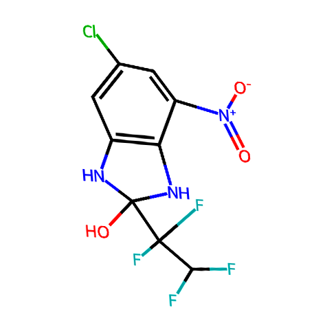 O=[N+]([O-])c1cc(Cl)cc2c1NC(O)(C(F)(F)C(F)F)N2